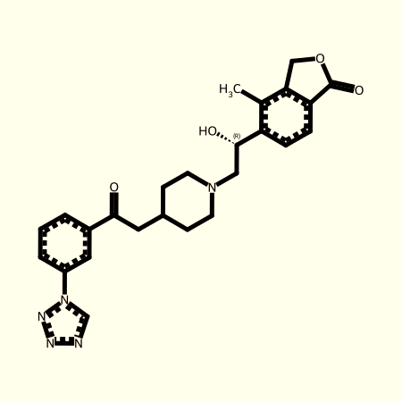 Cc1c([C@@H](O)CN2CCC(CC(=O)c3cccc(-n4cnnn4)c3)CC2)ccc2c1COC2=O